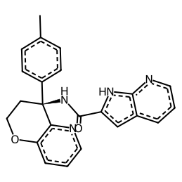 Cc1ccc([C@@]2(NC(=O)c3cc4cccnc4[nH]3)CCOc3cccnc32)cc1